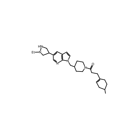 CCN1CC(c2cnc3c(ccn3CC3CCN(C(=O)CCC4=CCC(C)CC4)CC3)c2)CN1